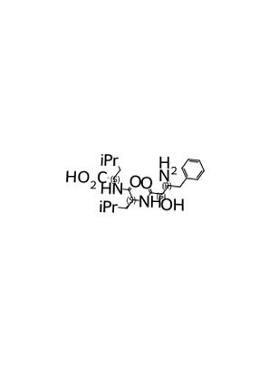 CC(C)C[C@H](NC(=O)[C@H](CC(C)C)NC(=O)[C@@H](O)[C@H](N)Cc1ccccc1)C(=O)O